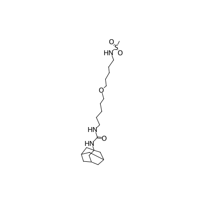 CS(=O)(=O)NCCCCCOCCCCCNC(=O)NC12CC3CC(CC(C3)C1)C2